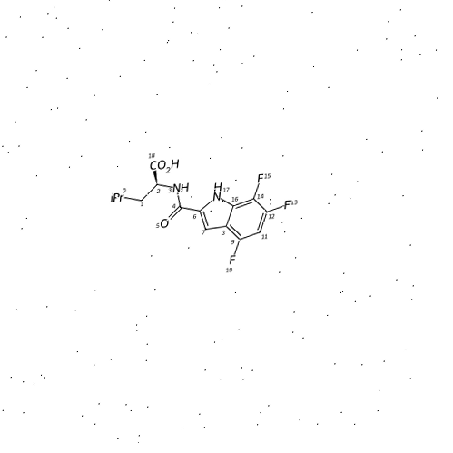 CC(C)C[C@H](NC(=O)c1cc2c(F)cc(F)c(F)c2[nH]1)C(=O)O